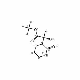 CC(C)(C)OC(=O)C(C)(O)C1OCCNC1=O